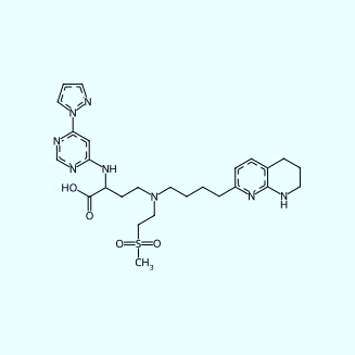 CS(=O)(=O)CCN(CCCCc1ccc2c(n1)NCCC2)CCC(Nc1cc(-n2cccn2)ncn1)C(=O)O